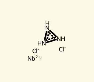 [Cl-].[Cl-].[Nb+2].[nH]1[nH][nH]1